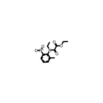 CCOC(=O)C(=O)N(CC)c1c(C)cccc1[N+](=O)[O-]